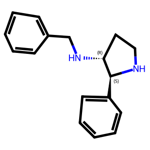 c1ccc(CN[C@@H]2CCN[C@H]2c2ccccc2)cc1